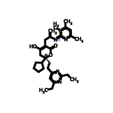 C=C(CC1=C(O)C[C@](CCc2cc(CC)nc(CC)n2)(C2CCCC2)OC1=O)/N=c1/nc(C)cc(C)n1C